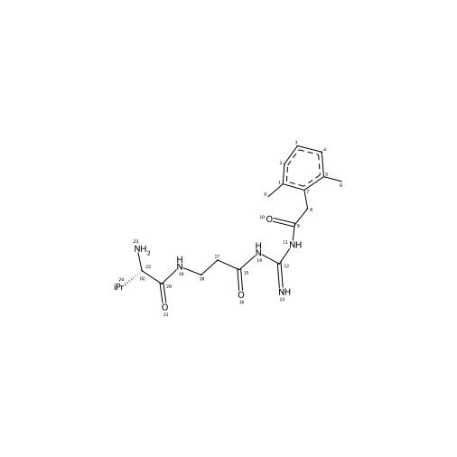 Cc1cccc(C)c1CC(=O)NC(=N)NC(=O)CCNC(=O)[C@@H](N)C(C)C